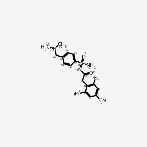 CCc1cc(C#N)cc(C(C)C)c1CC(=O)N=[S@@](N)(=O)c1ccc(CN(C)C)cc1